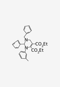 CCOC(=O)C1=C(C(=O)OCC)N(c2cccc(C)c2)C(c2ccccc2)N(Cc2ccccc2)C1